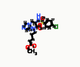 COC(=O)CCCCNC(=O)C(Cn1ccnc1)NS(=O)(=O)c1ccc(Cl)cc1